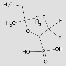 CCC(C)(C)OC(C(F)(F)F)P(=O)(O)O